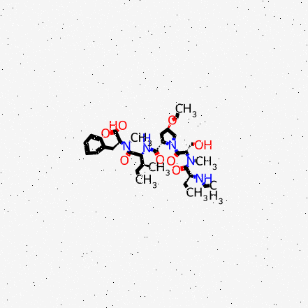 CCN[C@@H](CC)C(=O)N(C)[C@@H](CO)C(=O)N1C[C@H](OCC)C[C@H]1C(=O)N[C@H](C(=O)N(C)[C@@H](Cc1ccccc1)C(=O)O)[C@@H](C)CC